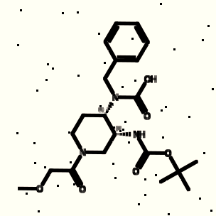 COCC(=O)N1CC[C@H](N(Cc2ccccc2)C(=O)O)[C@H](NC(=O)OC(C)(C)C)C1